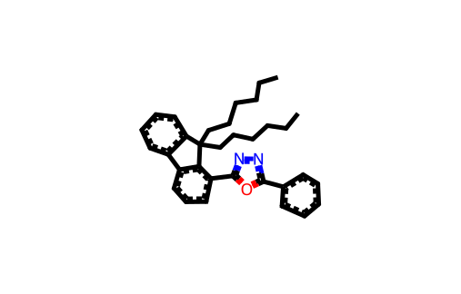 CCCCCCC1(CCCCCC)c2ccccc2-c2cccc(-c3nnc(-c4ccccc4)o3)c21